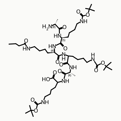 CCCC(=O)NCCCC[C@@H](NC(=O)[C@H](CCCCNC(=O)OC(C)(C)C)NC(=O)[C@@H](C)N)C(=O)NC(CCCCNC(=O)OC(C)(C)C)C(=O)N[C@H](C)C(=O)NC(CCCCNC(=O)OC(C)(C)C)C(=O)O